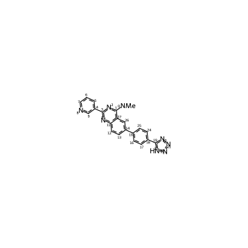 CNc1nc(-c2cccnc2)nc2ccc(-c3ccc(-c4nnn[nH]4)cc3)cc12